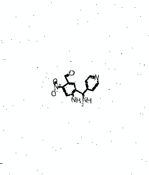 N=C(c1ccncc1)c1cc(C=O)c([N+](=O)[O-])cc1N